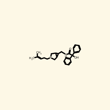 CC(C)=CCCN1CC2C(CNC(=O)C(O)(c3ccccc3)c3ccccc3)C2C1